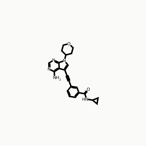 Nc1ncnc2c1c(C#Cc1cccc(C(=O)NC3CC3)c1)cn2C1CCOCC1